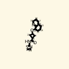 O=C(Nc1nncs1)C1CC(Oc2cccc3cccnc23)C1